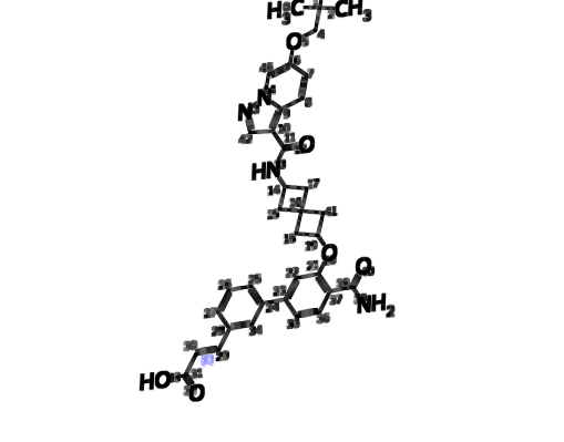 CC(C)(O)COc1ccc2c(C(=O)NC3CC4(C3)CC(Oc3cc(-c5cccc(/C=C/C(=O)O)c5)ccc3C(N)=O)C4)cnn2c1